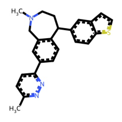 Cc1ccc(-c2ccc3c(c2)CN(C)CCC3c2ccc3sccc3c2)nn1